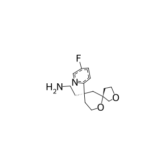 NCC[C@@]1(c2ccc(F)cn2)CCO[C@]2(CCOC2)C1